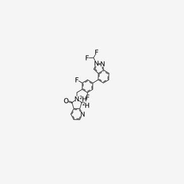 [2H]C1([2H])c2ncccc2C(=O)N1Cc1c(F)cc(-c2cccc3nn(C(F)F)cc23)cc1F